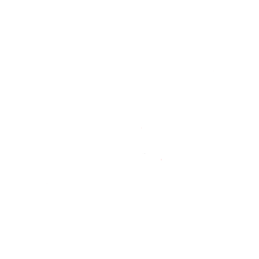 O=Cc1cccc(OC(=O)CCCCO)c1